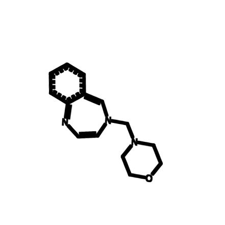 C1=CN(CN2CCOCC2)C=c2ccccc2=N1